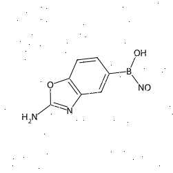 Nc1nc2cc(B(O)N=O)ccc2o1